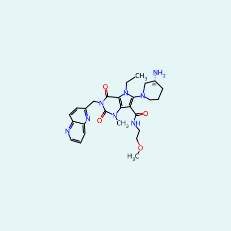 CCn1c(N2CCC[C@@H](N)C2)c(C(=O)NCCOC)c2c1c(=O)n(Cc1ccc3ncccc3n1)c(=O)n2C